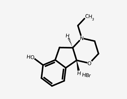 Br.CCN1CCO[C@@H]2c3cccc(O)c3C[C@H]21